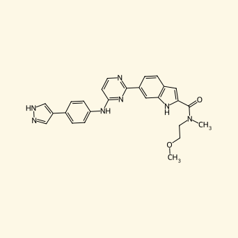 COCCN(C)C(=O)c1cc2ccc(-c3nccc(Nc4ccc(-c5cn[nH]c5)cc4)n3)cc2[nH]1